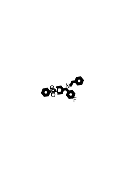 O=S(=O)(c1ccccc1)N1CCC(/C(=N/CCc2ccccc2)c2ccc(F)cc2)CC1